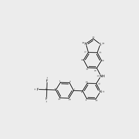 FC(F)(F)c1ccc(-c2ccnc(Nc3ccc4ncsc4c3)c2)cc1